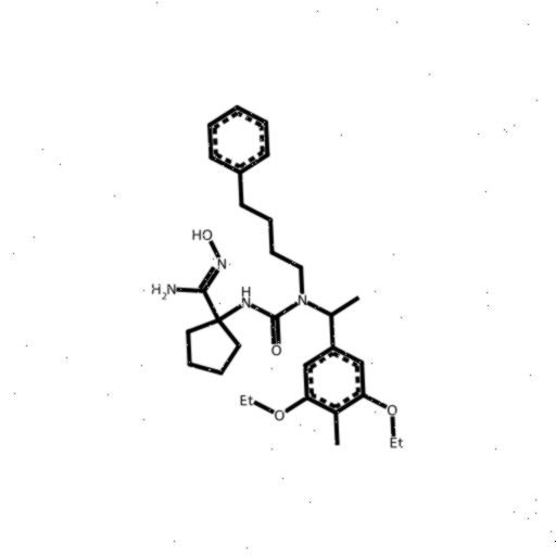 CCOc1cc(C(C)N(CCCCc2ccccc2)C(=O)NC2(C(N)=NO)CCCC2)cc(OCC)c1C